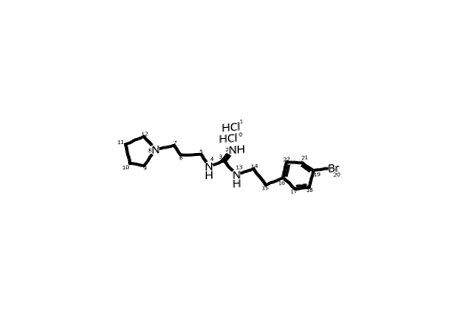 Cl.Cl.N=C(NCCCN1CCCC1)NCCc1ccc(Br)cc1